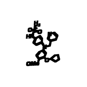 COc1ccc(N(Cc2cccnc2)c2ccc(NS(C)(=O)=O)cc2)cc1OC1CCCC1